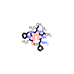 CC[C@H](C)[C@H](NC(=O)[C@@H](NC(=O)[C@H](N)Cc1ccccc1)C(C)C)C(=O)N[C@@H](Cc1ccccc1)C(=O)N[C@@H](C)C(=O)OC